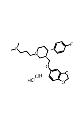 CN(C)CCCN1CC[C@H](c2ccc(F)cc2)[C@@H](COc2ccc3c(c2)OCO3)C1.Cl.Cl